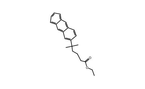 CCOC(=O)CCCC(C)(C)c1ccc2cc3ccccc3cc2c1